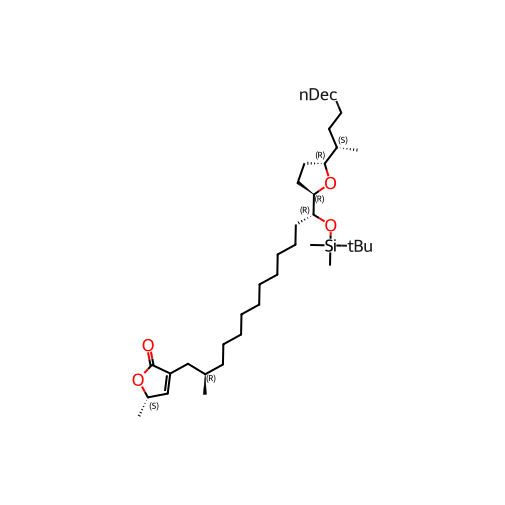 CCCCCCCCCCCC[C@H](C)[C@H]1CC[C@H]([C@@H](CCCCCCCCCC[C@@H](C)CC2=C[C@H](C)OC2=O)O[Si](C)(C)C(C)(C)C)O1